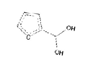 OC(O)c1ccco1